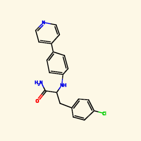 NC(=O)C(Cc1ccc(Cl)cc1)Nc1ccc(-c2ccncc2)cc1